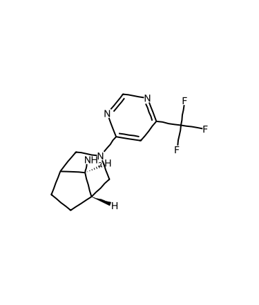 N[C@@H]1C2CC[C@H]1CN(c1cc(C(F)(F)F)ncn1)C2